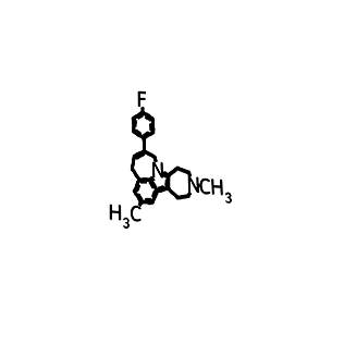 Cc1cc2c3c(c1)c1c(n3CC(c3ccc(F)cc3)=CC2)CCN(C)CC1